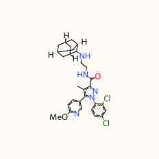 COc1ccc(-c2c(C)c(C(=O)NCCNC3[C@H]4C[C@@H]5C[C@@H](C[C@H]3C5)C4)nn2-c2ccc(Cl)cc2Cl)cn1